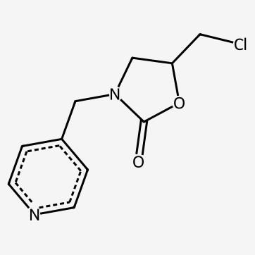 O=C1OC(CCl)CN1Cc1ccncc1